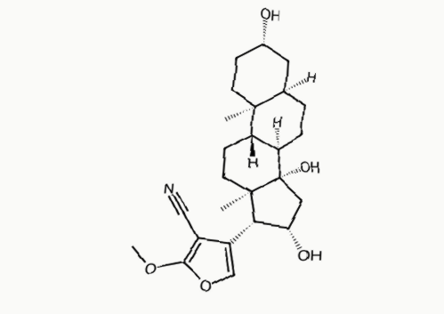 COc1occ([C@H]2[C@@H](O)C[C@]3(O)[C@@H]4CC[C@@H]5C[C@@H](O)CC[C@]5(C)[C@H]4CC[C@]23C)c1C#N